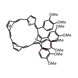 COc1ccc(-c2c(-c3ccc(OC)c(OC)c3)c3c(-c4ccc(OC)c(OC)c4)c4nc(cc5ccc(cc6nc(cc2n3-c2ccc(OC)c(OC)c2)C=C6)[nH]5)C=C4)cc1OC